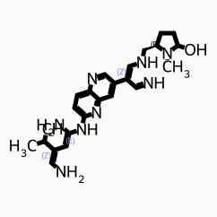 CC(C)C(=C/N)/C=C(\N)Nc1ccc2ncc(/C(C=N)=C/NC[C@H]3CCC(O)N3C)cc2n1